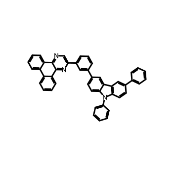 c1ccc(-c2ccc3c(c2)c2cc(-c4cccc(-c5cnc6c7ccccc7c7ccccc7c6n5)c4)ccc2n3-c2ccccc2)cc1